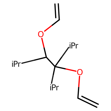 C=COC(C(C)C)C(OC=C)(C(C)C)C(C)C